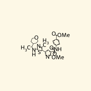 COC(=O)c1ccc(NS(=O)(=O)c2cc(-c3sc(NC(C)C4CCOCC4)nc3C)cnc2OC)cc1